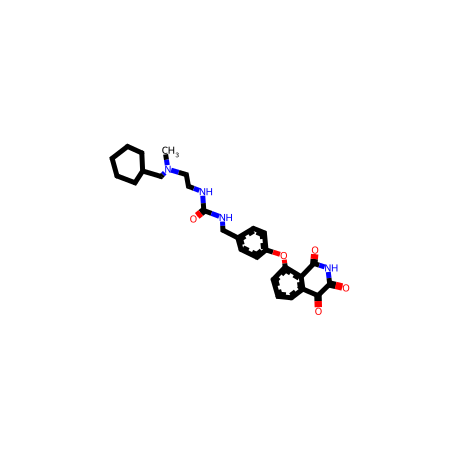 CN(CCNC(=O)NCc1ccc(Oc2cccc3c2C(=O)NC(=O)C3=O)cc1)CC1CCCCC1